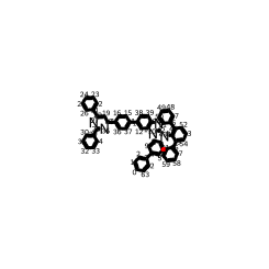 c1ccc(-c2ccc3c(c2)n2c4cc(-c5ccc(-c6cc(-c7ccccc7)nc(-c7ccccc7)n6)cc5)ccc4nc2n3-c2c(-c3ccccc3)cccc2-c2ccccc2)cc1